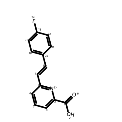 O=C(O)c1cccc(/C=C/c2ccc(F)cc2)n1